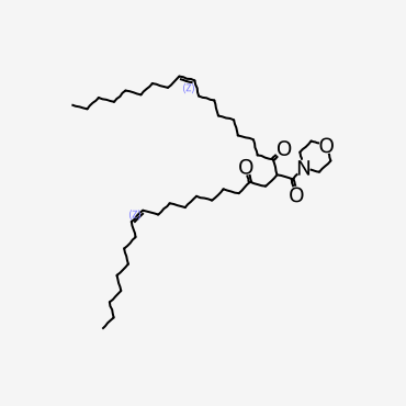 CCCCCCCC/C=C\CCCCCCCC(=O)CC(C(=O)CCCCCCC/C=C\CCCCCCCC)C(=O)N1CCOCC1